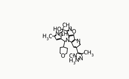 Cc1cc(C(C2CCOCC2)n2c3cc(-c4c(C)nnn4C)cnc3c3onc(C(C)(C)O)c32)on1